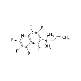 BC(C)(CCC)c1c(F)c(F)c2nc(F)c(F)c(F)c2c1F